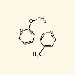 COc1ccccn1.Cc1ccncc1